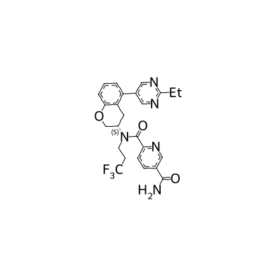 CCc1ncc(-c2cccc3c2C[C@H](N(CCC(F)(F)F)C(=O)c2ccc(C(N)=O)cn2)CO3)cn1